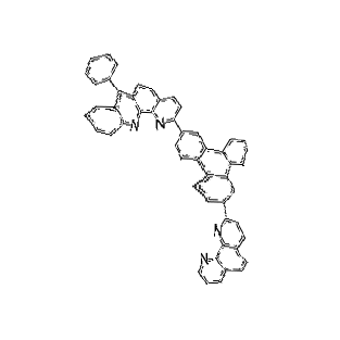 c1ccc(-c2c3ccccc3nc3c2ccc2ccc(-c4ccc5c6ccc(-c7ccc8ccc9cccnc9c8n7)cc6c6ccccc6c5c4)nc23)cc1